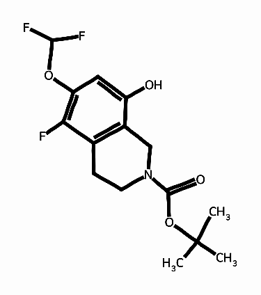 CC(C)(C)OC(=O)N1CCc2c(F)c(OC(F)F)cc(O)c2C1